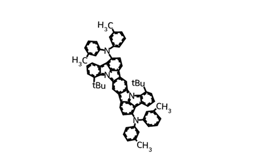 Cc1cccc(N(c2cccc(C)c2)c2ccc3c4cc5c(cc4n4c6c(C(C)(C)C)cccc6c2c34)c2ccc(N(c3cccc(C)c3)c3cccc(C)c3)c3c4cccc(C(C)(C)C)c4n5c23)c1